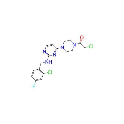 O=C(CCl)N1CCN(c2ccnc(NCc3ccc(F)cc3Cl)n2)CC1